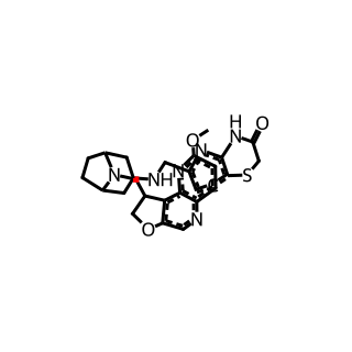 COc1ccc2ncc3c(c2n1)C(CN1C2CCC1CC(NCc1ccc4c(n1)NC(=O)CS4)C2)CO3